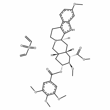 C=CS(=O)(=O)C=C.COC(=O)[C@H]1[C@H]2C[C@@H]3c4[nH]c5cc(OC)ccc5c4CCN3C[C@H]2C[C@@H](OC(=O)c2cc(OC)c(OC)c(OC)c2)[C@@H]1OC